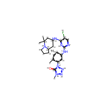 Cc1ccc(Nc2ncc(F)c(N[C@@H]3C[C@H]4CCCN4C(C)(C)C3)n2)cc1-n1nnn(C)c1=O